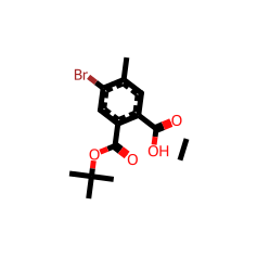 CC.Cc1cc(C(=O)O)c(C(=O)OC(C)(C)C)cc1Br